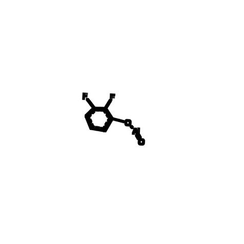 [O]=[Al][O]c1cccc(F)c1F